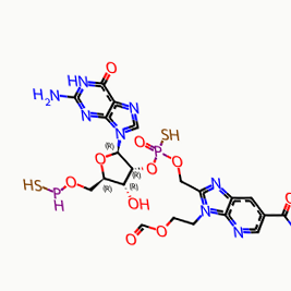 NC(=O)c1cnc2c(c1)nc(COP(=O)(S)O[C@@H]1[C@H](O)[C@@H](COPS)O[C@H]1n1cnc3c(=O)[nH]c(N)nc31)n2CCOC=O